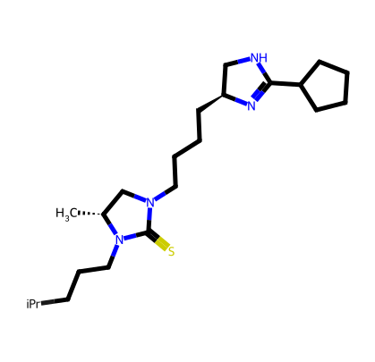 CC(C)CCCN1C(=S)N(CCCC[C@H]2CNC(C3CCCC3)=N2)C[C@H]1C